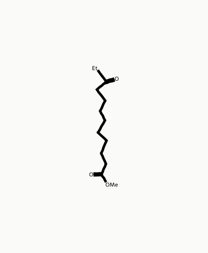 CCC(=O)CCCCCCCCC(=O)OC